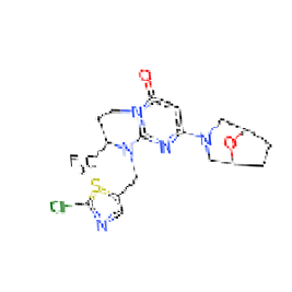 O=c1cc(N2CC3CCC(C2)O3)nc2n1CCC(C(F)(F)F)N2Cc1cnc(Cl)s1